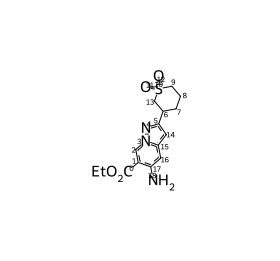 CCOC(=O)c1cn2nc(C3CCCS(=O)(=O)C3)cc2cc1N